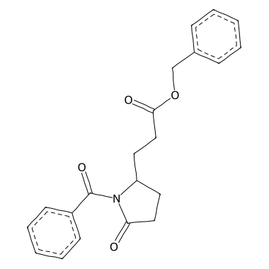 O=C(CCC1CCC(=O)N1C(=O)c1ccccc1)OCc1ccccc1